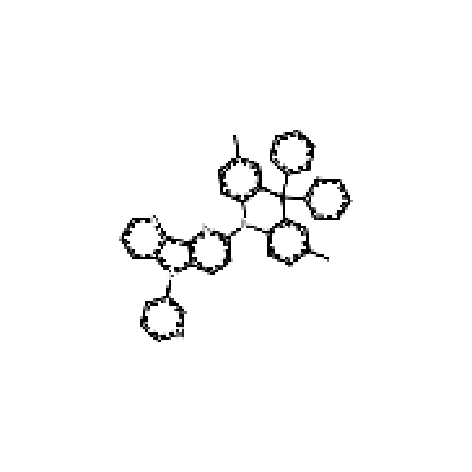 Cc1ccc2c(c1)C(c1ccccc1)(c1ccccc1)c1cc(C)ccc1N2c1ccc2c(n1)c1ncccc1n2-c1cccnc1